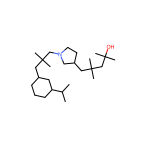 CC(C)C1CCCC(CC(C)(C)CN2CCC(CC(C)(C)CC(C)(C)O)C2)C1